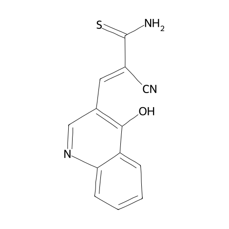 N#CC(=Cc1cnc2ccccc2c1O)C(N)=S